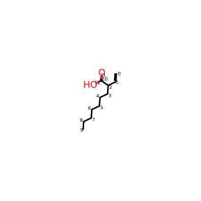 C=CC(CCCCCCC)C(=O)O